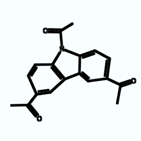 CC(=O)c1ccc2c(c1)c1cc(C(C)=O)ccc1n2C(C)=O